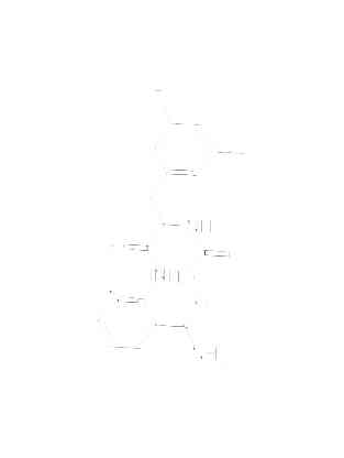 NC(=O)c1cccnc1NC(=O)C(Cc1cc(F)cc(F)c1)NC(=O)O